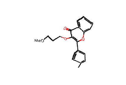 COCCCOc1c(-c2ccc(C)cc2)oc2ccccc2c1=O